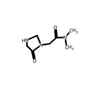 CN(C)C(=O)CN1CNCC1=O